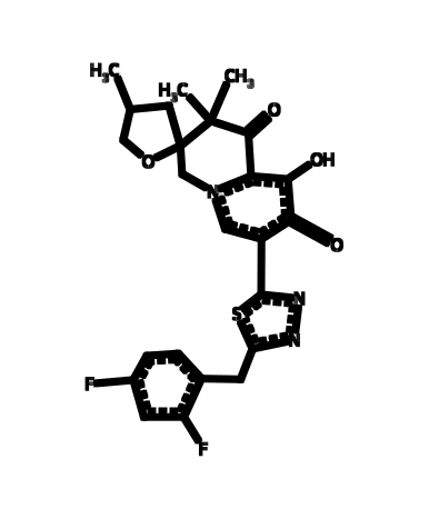 CC1COC2(C1)Cn1cc(-c3nnc(Cc4ccc(F)cc4F)s3)c(=O)c(O)c1C(=O)C2(C)C